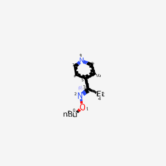 CCCCO/N=C(\CC)c1ccncc1